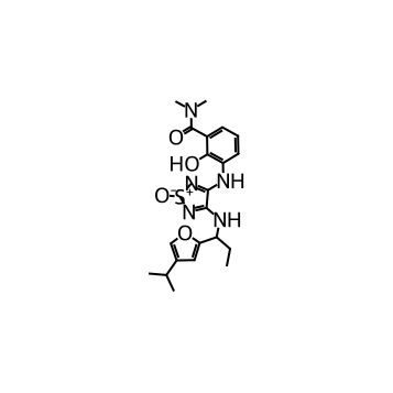 CCC(Nc1n[s+]([O-])nc1Nc1cccc(C(=O)N(C)C)c1O)c1cc(C(C)C)co1